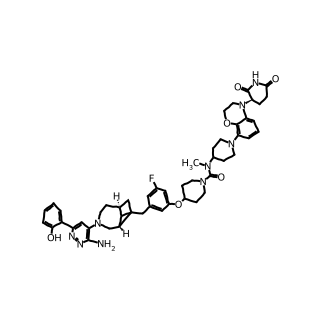 CN(C(=O)N1CCC(Oc2cc(F)cc(CC34C[C@@H]5CCN(c6cc(-c7ccccc7O)nnc6N)C[C@@H]3C54)c2)CC1)C1CCN(c2cccc3c2OCCN3[C@@H]2CCC(=O)NC2=O)CC1